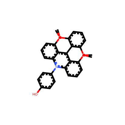 COc1cccc(OC)c1-c1c2c(OC)cccc2[n+](-c2ccc(O)cc2)c2cccc(OC)c12